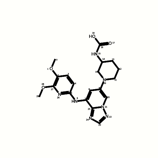 COc1ccc(Nc2cc(N3CCCC(NC(=O)O)C3)cn3ncnc23)nc1OC